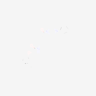 O=C(COc1ccc(Cl)c(F)c1)NC1CCC(C(=O)N2CCN(c3ccc(Cl)cc3)CC2)CC1